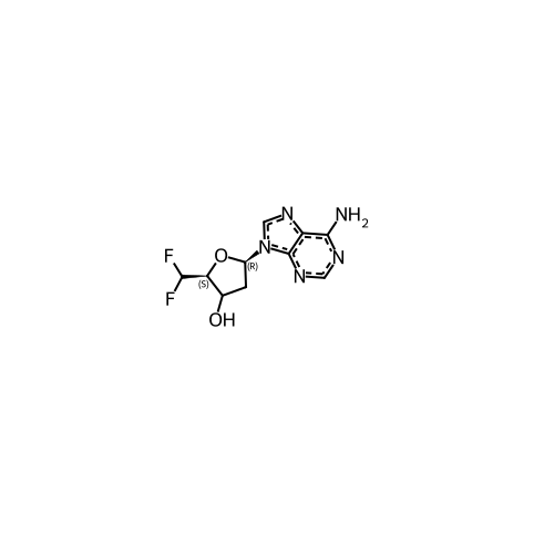 Nc1ncnc2c1ncn2[C@H]1CC(O)[C@@H](C(F)F)O1